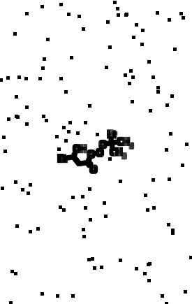 CCC(O)CC(=O)OOOC(C)(C)CC